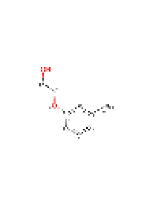 CC(C)(C)c1cccc(OCCO)c1